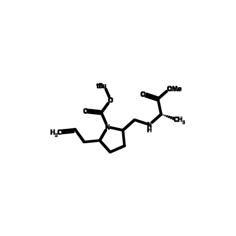 C=CCC1CCC(CN[C@@H](C)C(=O)OC)N1C(=O)OC(C)(C)C